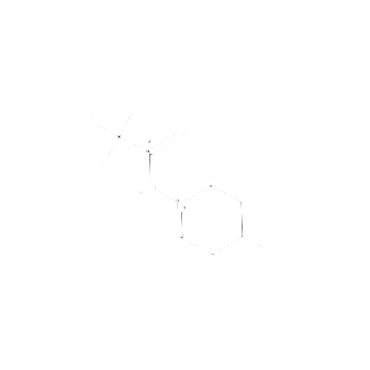 CC(C)(C)C(=O)ON1CCC(Cl)CC1